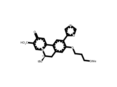 COCCCOc1cc2c(cc1-c1cnco1)-c1cc(=O)c(C(=O)O)cn1[C@H](C(C)(C)C)C2